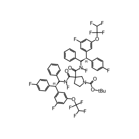 CC(C)(C)OC(=O)N1CCC(C(=O)N(F)C(c2ccccc2)[C@H](c2ccc(F)cc2)c2cc(F)cc(OC(F)(F)C(F)F)c2)(C(=O)N(F)C(c2ccccc2)[C@H](c2ccc(F)cc2)c2cc(F)cc(OC(F)(F)C(F)F)c2)C1